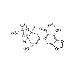 CC1(C)O[C@H]2[C@H](CC(c3cc4c(c(O)c3C(N)=O)OCO4)=C[C@@H]2O)O1